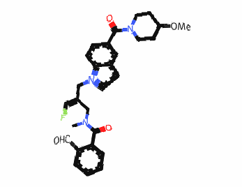 COC1CCN(C(=O)c2ccc3c(ccn3C/C(=C/F)CN(C)C(=O)c3ccccc3C=O)c2)CC1